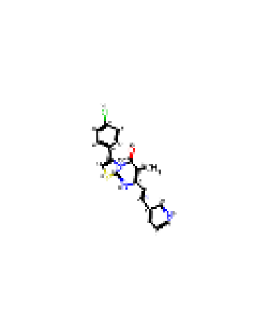 Cc1c(/C=C/c2cccnc2)nc2scc(-c3ccc(Cl)cc3)n2c1=O